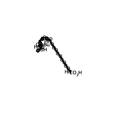 CCCCN1C(=O)[C@@H]([C@H](O)C2CCCCC2)NC(=O)C12CCN(Cc1ccc(Oc3ccc(C(=O)NCCOCCOCCOCCOCCOCCOCCOCCOCCOCCNC(=O)O)cc3)cc1)CC2